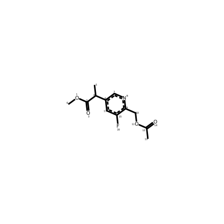 COC(=O)C(C)c1cnc(COC(C)=O)c(F)c1